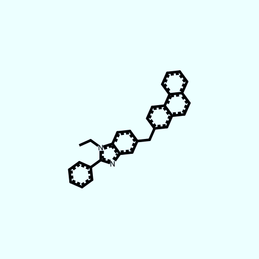 CCn1c(-c2ccccc2)nc2cc(Cc3ccc4c(ccc5ccccc54)c3)ccc21